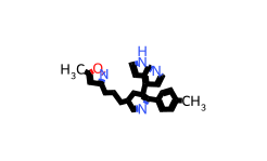 Cc1ccc(C2=C(c3ccnc4[nH]ccc34)CC(CCCc3cc(C)on3)C=N2)cc1